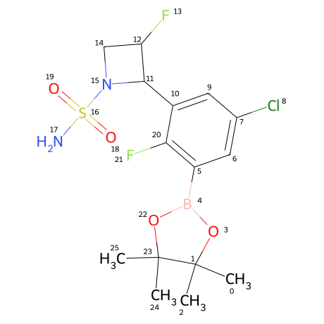 CC1(C)OB(c2cc(Cl)cc(C3C(F)CN3S(N)(=O)=O)c2F)OC1(C)C